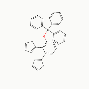 C1=CCC(c2cccc(OC(c3ccccc3)(c3ccccc3)c3ccccc3)c2C2=CC=CC2)=C1